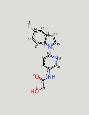 O=C(CO)Nc1ccc(-n2ccc3cc(F)ccc32)nc1